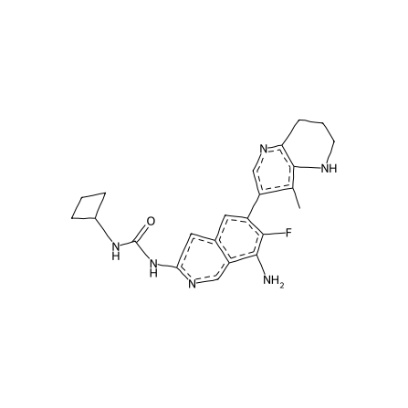 Cc1c(-c2cc3cc(NC(=O)NC4CCC4)ncc3c(N)c2F)cnc2c1NCCC2